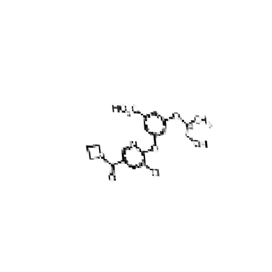 C[C@@H](CO)Oc1cc(Oc2ncc(C(=O)N3CCC3)cc2Cl)cc(C(=O)O)c1